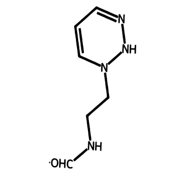 O=[C]NCCN1C=CC=NN1